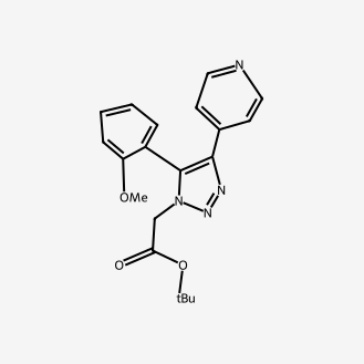 COc1ccccc1-c1c(-c2ccncc2)nnn1CC(=O)OC(C)(C)C